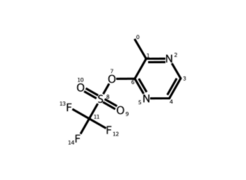 Cc1nccnc1OS(=O)(=O)C(F)(F)F